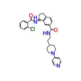 O=C(NCCC1CCN(c2ccncc2)CC1)c1ccc2c(c1)[C@H](NC(=O)c1ccccc1Cl)CC2